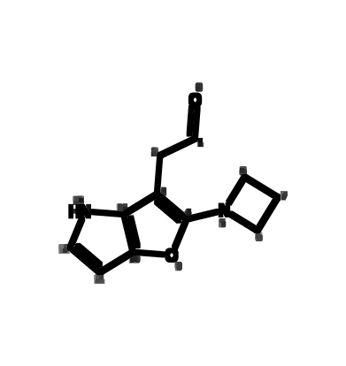 O=CCc1c(N2CCC2)oc2cc[nH]c12